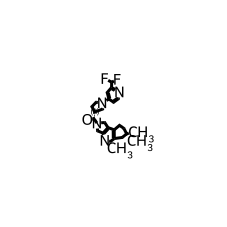 Cc1nc2c(c3c1CC(C)(C)CC3)CN(C(=O)[C@@H]1CCN(c3ccnc(C(F)F)c3)C1)C2